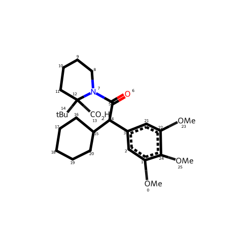 COc1cc(C(C(=O)N2CCCCC2(C(=O)O)C(C)(C)C)C2CCCCC2)cc(OC)c1OC